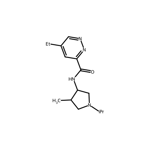 CCc1cnnc(C(=O)NC2CN(C(C)C)CC2C)c1